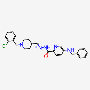 O=C(N/N=C/C1CCN(Cc2ccccc2Cl)CC1)c1ccc(NCc2ccccc2)cn1